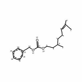 CC(C)=CCCC(C)CCOC(=O)OCc1ccccc1